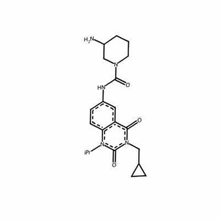 CC(C)n1c(=O)n(CC2CC2)c(=O)c2cc(NC(=O)N3CCCC(N)C3)ccc21